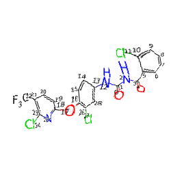 O=C(NC(=O)c1ccccc1Cl)Nc1ccc(Oc2ccc(C(F)(F)F)c(Cl)n2)c(Cl)c1